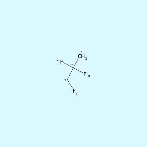 CC(F)(F)CF